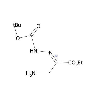 CCOC(=O)/C(CN)=N/NC(=O)OC(C)(C)C